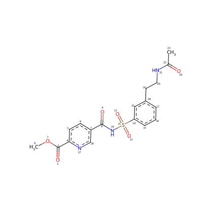 COC(=O)c1ccc(C(=O)NS(=O)(=O)c2cccc(CCNC(C)=O)c2)cn1